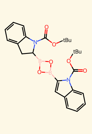 CC(C)(C)OC(=O)N1c2ccccc2CC1B1OB(c2cc3ccccc3n2C(=O)OC(C)(C)C)O1